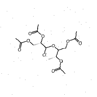 CC(=O)OCC(OC(Cl)[C@H](COC(C)=O)OC(C)=O)[C@@H](C)OC(C)=O